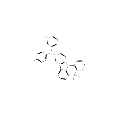 CC1C=CC=C(N(c2ccc(C(C)(C)C)cc2)C2C=Cc3c(c4cccc5c4n3C3=C(CCC=C3)C5(C)C)C2)C1